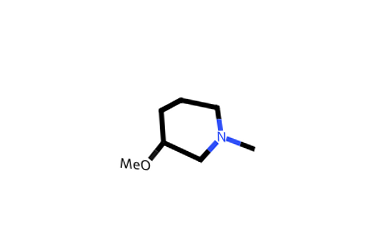 COC1CCCN(C)C1